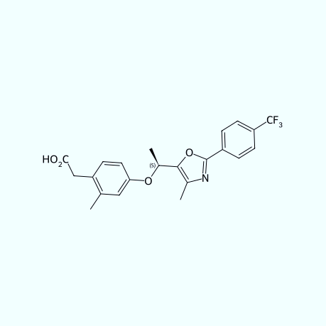 Cc1cc(O[C@@H](C)c2oc(-c3ccc(C(F)(F)F)cc3)nc2C)ccc1CC(=O)O